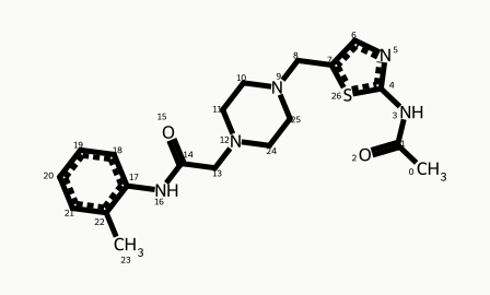 CC(=O)Nc1ncc(CN2CCN(CC(=O)Nc3ccccc3C)CC2)s1